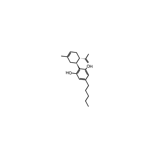 C=C(C)[C@H]1CC=C(C)C[C@@H]1c1c(O)cc(CCCCC)cc1O